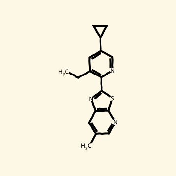 CCc1cc(C2CC2)cnc1-c1nc2cc(C)cnc2s1